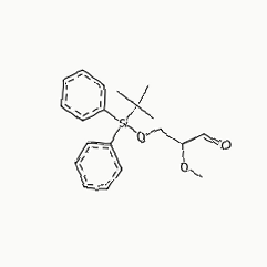 COC(C=O)CO[Si](c1ccccc1)(c1ccccc1)C(C)(C)C